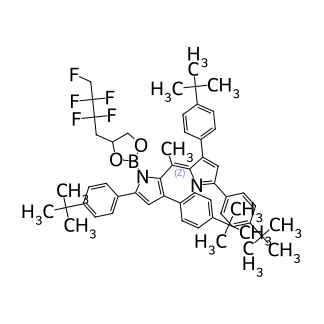 C/C(=C1/N=C(c2ccc(C(C)(C)C)cc2)C=C1c1ccc(C(C)(C)C)cc1)c1c(-c2ccc(C(C)(C)C)cc2)cc(-c2ccc(C(C)(C)C)cc2)n1B1OCC(CC(F)(F)C(F)(F)CF)O1